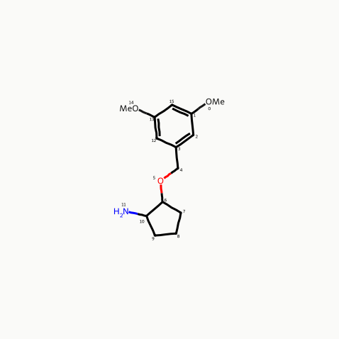 COc1cc(COC2CCCC2N)cc(OC)c1